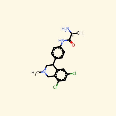 C[C@H](N)C(=O)Nc1ccc(C2CN(C)Cc3c(Cl)cc(Cl)cc32)cc1